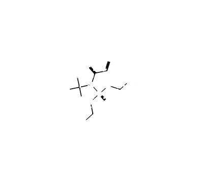 C=CC(=O)N(C(C)(C)C)P(=O)(OCC)OCC